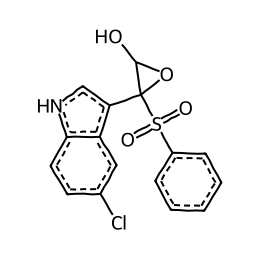 O=S(=O)(c1ccccc1)C1(c2c[nH]c3ccc(Cl)cc23)OC1O